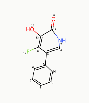 O=c1[nH]cc(-c2ccccc2)c(F)c1O